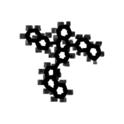 c1ccc2cc(-c3c4ccccc4c(-c4ccc5ccccc5c4)c4cc(-c5ccc6ccc7ccccc7c6n5)ccc34)ccc2c1